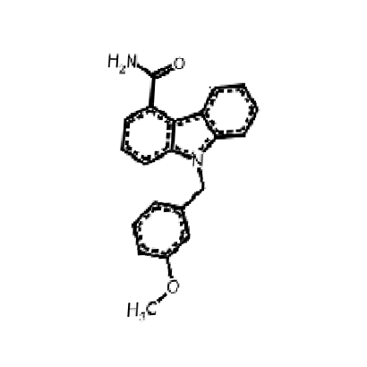 COc1cccc(Cn2c3ccc[c]c3c3c(C(N)=O)cccc32)c1